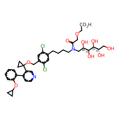 O=C(O)COCC(=O)N(CCCCc1cc(Cl)c(COC2(c3cnccc3-c3ccccc3OC3CC3)CC2)cc1Cl)C[C@@H](O)[C@H](O)[C@@H](O)[C@@H](O)CO